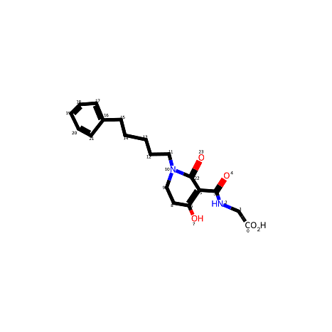 O=C(O)CNC(=O)C1=C(O)CCN(CCCCCc2ccccc2)C1=O